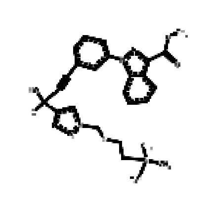 COC(=O)c1nn(-c2cccc(C#CC(C)(O)c3cn(COCC[Si](C)(C)C)nn3)c2)c2ccccc12